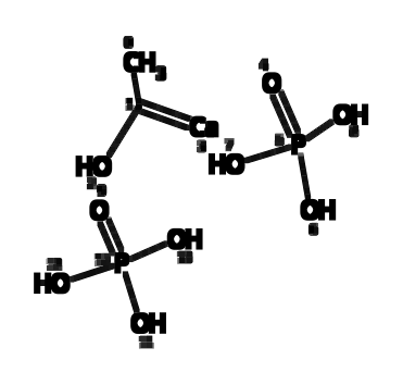 C[C](O)=[Ca].O=P(O)(O)O.O=P(O)(O)O